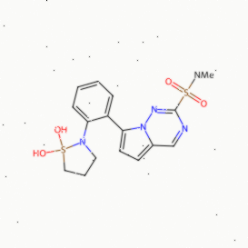 CNS(=O)(=O)c1ncc2ccc(-c3ccccc3N3CCCS3(O)O)n2n1